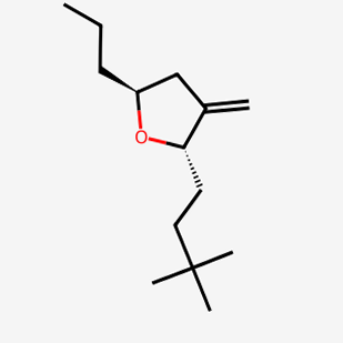 C=C1C[C@H](CCC)O[C@H]1CCC(C)(C)C